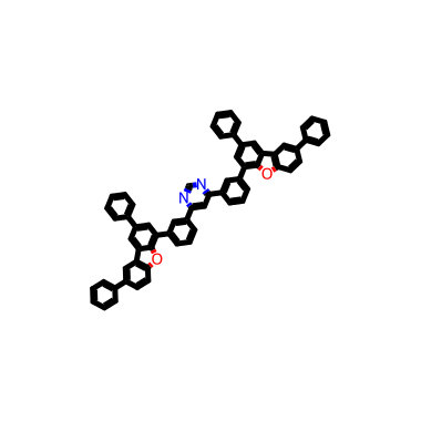 c1ccc(-c2ccc3oc4c(-c5cccc(-c6cc(-c7cccc(-c8cc(-c9ccccc9)cc9c8oc8ccc(-c%10ccccc%10)cc89)c7)ncn6)c5)cc(-c5ccccc5)cc4c3c2)cc1